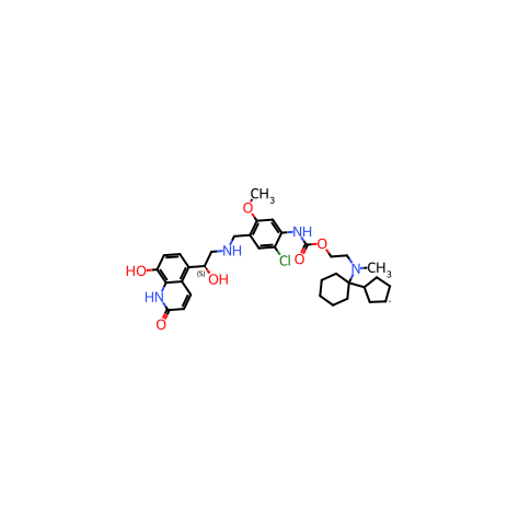 COc1cc(NC(=O)OCCN(C)C2(C3C[CH]CC3)CCCCC2)c(Cl)cc1CNC[C@@H](O)c1ccc(O)c2[nH]c(=O)ccc12